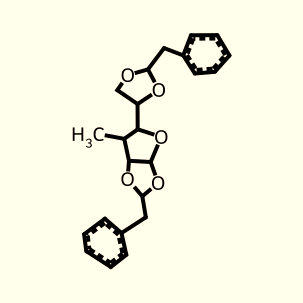 CC1C(C2COC(Cc3ccccc3)O2)OC2OC(Cc3ccccc3)OC21